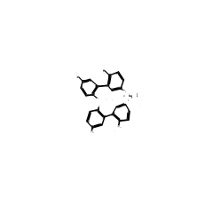 Nc1ccc(Cl)c(-c2cc(Cl)ccc2[S+]([O-])c2ccc(Cl)cc2-c2cc(N)ccc2Cl)c1